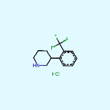 Cl.FC(F)(F)c1ccccc1C1CCCNC1